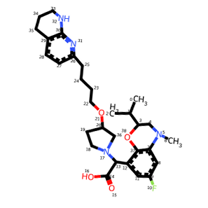 CC(C)C1CN(C)c2cc(F)cc(C(C(=O)O)N3CCC(OCCCCc4ccc5c(n4)NCCC5)C3)c2O1